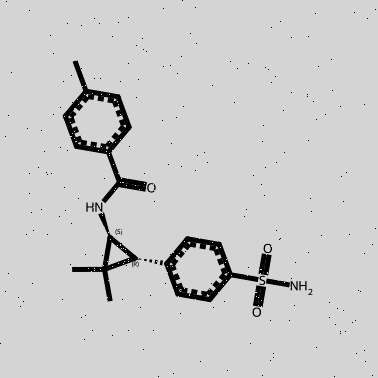 Cc1ccc(C(=O)N[C@H]2[C@H](c3ccc(S(N)(=O)=O)cc3)C2(C)C)cc1